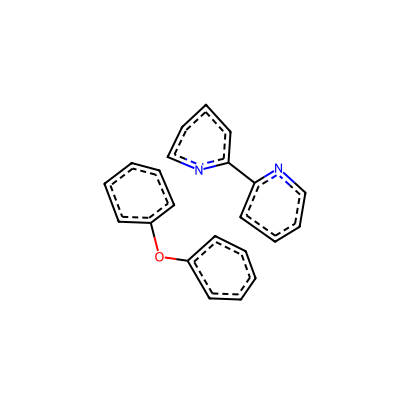 c1ccc(-c2ccccn2)nc1.c1ccc(Oc2ccccc2)cc1